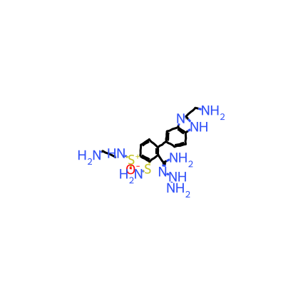 NCCN[S+]([O-])c1ccc(-c2ccc3[nH]c(CN)nc3c2)c(/C(N)=N/NN)c1SN